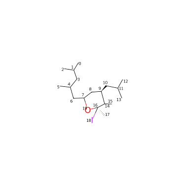 CC(C)CC(C)CC1C[C@@H](CC(C)C)C(C)[C@@](C)(I)O1